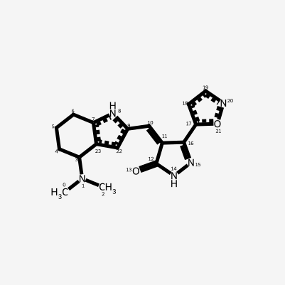 CN(C)C1CCCc2[nH]c(C=C3C(=O)NN=C3c3ccno3)cc21